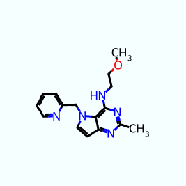 COCCNc1nc(C)nc2ccn(Cc3ccccn3)c12